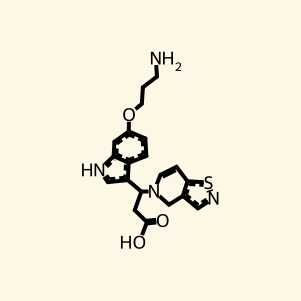 NCCCOc1ccc2c(C(CC(=O)O)N3C=Cc4sncc4C3)c[nH]c2c1